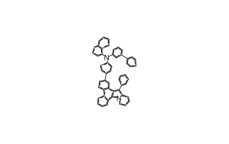 c1ccc(-c2cccc(N(c3ccc(-c4ccc5c6ccccc6c6c(c(-c7ccccc7)c7ccccn76)c5c4)cc3)c3cccc4ccccc34)c2)cc1